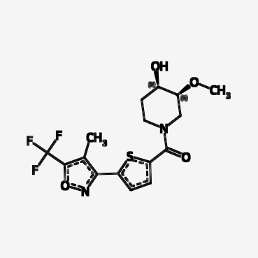 CO[C@H]1CN(C(=O)c2ccc(-c3noc(C(F)(F)F)c3C)s2)CC[C@H]1O